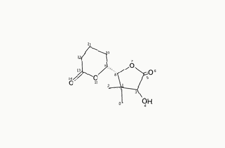 CC1(C)C(O)C(=O)O[C@H]1C1CCCC(=O)O1